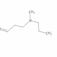 CCCN(C)CC[C]=O